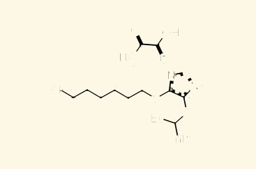 CCCC(CC)Sc1nsnc1SCCCCCCCl.O=C(O)C(=O)O